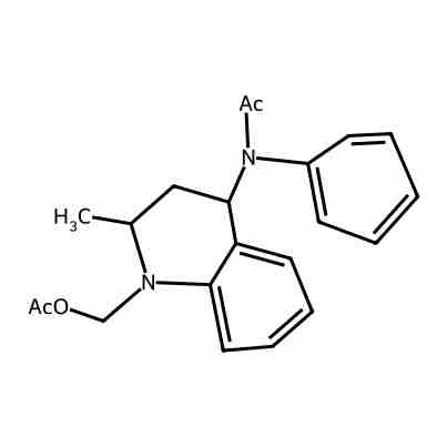 CC(=O)OCN1c2ccccc2C(N(C(C)=O)c2ccccc2)CC1C